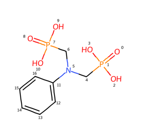 O=P(O)(O)CN(CP(=O)(O)O)c1ccccc1